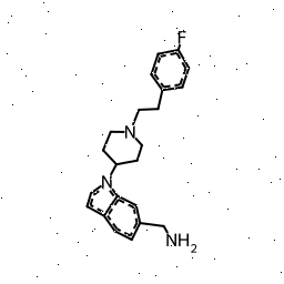 NCc1ccc2ccn(C3CCN(CCc4ccc(F)cc4)CC3)c2c1